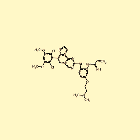 C=CC(=N)Nc1cc(OCCN(C)C)ccc1Nc1ncc2cc(-c3c(Cl)c(OC)cc(OC)c3Cl)c3nccn3c2n1